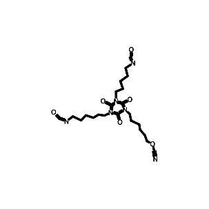 N#COCCCCCCn1c(=O)n(CCCCCCN=C=O)c(=O)n(CCCCCN=C=O)c1=O